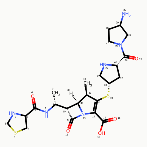 C[C@@H](NC(=O)C1CSCN1)[C@H]1C(=O)N2C(C(=O)O)=C(S[C@@H]3CN[C@H](C(=O)N4CCC(N)C4)C3)[C@H](C)[C@H]12